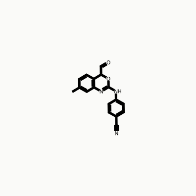 Cc1ccc2c(c1)N=C(Nc1ccc(C#N)cc1)OC2C=O